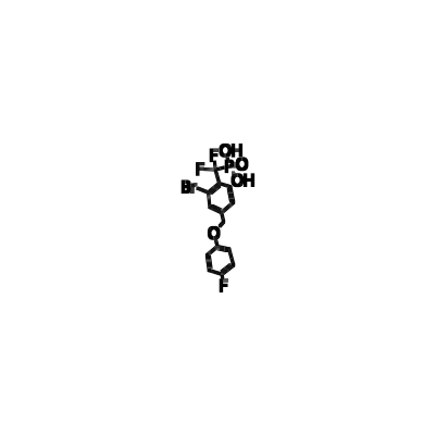 O=P(O)(O)C(F)(F)c1ccc(COc2ccc(F)cc2)cc1Br